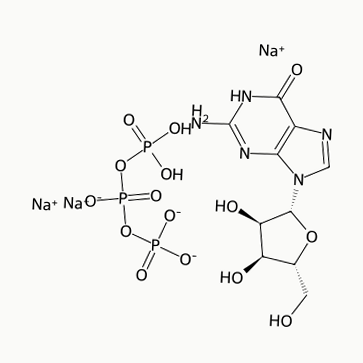 Nc1nc2c(ncn2[C@@H]2O[C@H](CO)[C@@H](O)[C@H]2O)c(=O)[nH]1.O=P([O-])([O-])OP(=O)([O-])OP(=O)(O)O.[Na+].[Na+].[Na+]